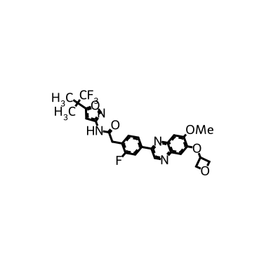 COc1cc2nc(-c3ccc(CC(=O)Nc4cc(C(C)(C)C(F)(F)F)on4)c(F)c3)cnc2cc1OC1COC1